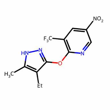 CCc1c(Oc2ncc([N+](=O)[O-])cc2C(F)(F)F)n[nH]c1C